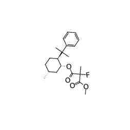 COC(=O)C(C)(F)C(=O)O[C@@H]1C[C@H](C)CC[C@H]1C(C)(C)c1ccccc1